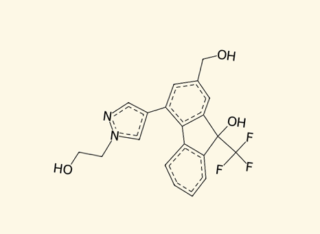 OCCn1cc(-c2cc(CO)cc3c2-c2ccccc2C3(O)C(F)(F)F)cn1